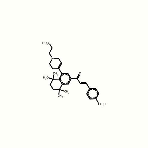 CC1(C)CCC(C)(C)c2c(C3=CCN(CCC(=O)O)CC3)cc(C(=O)/C=C/c3ccc(C(=O)O)cc3)cc21